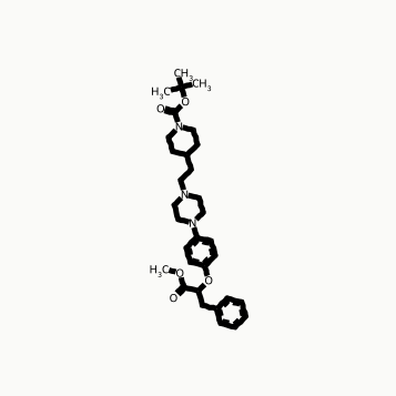 COC(=O)C(Cc1ccccc1)Oc1ccc(N2CCN(CCC3CCN(C(=O)OC(C)(C)C)CC3)CC2)cc1